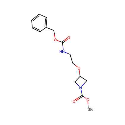 CC(C)(C)OC(=O)N1CC(OCCNC(=O)OCc2ccccc2)C1